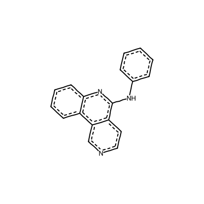 c1ccc(Nc2nc3ccccc3c3cnccc23)cc1